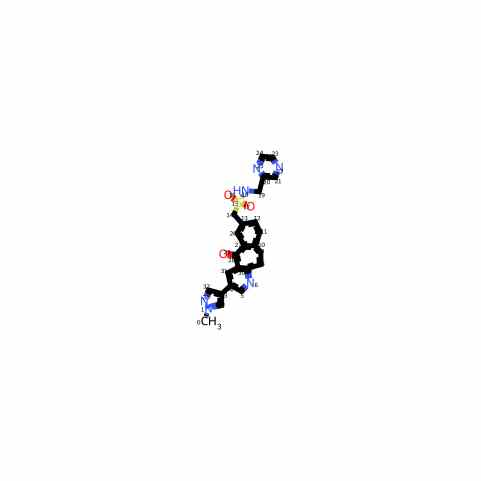 Cn1cc(-c2cnc3ccc4ccc(CS(=O)(=O)NCc5cnccn5)cc4c(=O)c3c2)cn1